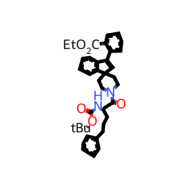 CCOC(=O)c1ccccc1C1=CC2(CCN(C(=O)C(CCCc3ccccc3)NC(=O)OC(C)(C)C)CC2)c2ccccc21